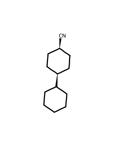 N#C[C@H]1CC[C@@H](C2CCCCC2)CC1